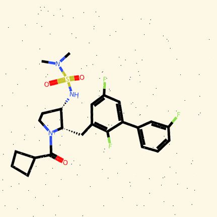 CN(C)S(=O)(=O)N[C@H]1CCN(C(=O)C2CCC2)[C@H]1Cc1cc(F)cc(-c2cccc(F)c2)c1F